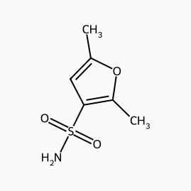 Cc1cc(S(N)(=O)=O)c(C)o1